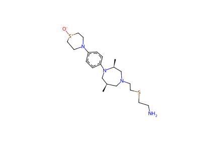 C[C@@H]1CN(CCSCCN)C[C@H](C)N(c2ccc(N3CC[S+]([O-])CC3)cc2)C1